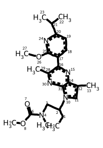 CCC(CN(C)C(=O)OC)n1cc(C)c2nc(-c3ccc(C(C)C)nc3OC)c(C)nc21